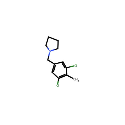 Cc1c(Cl)cc(CN2CCCC2)cc1Cl